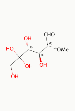 CO[C@@H](C=O)[C@@H](O)[C@@H](O)C(O)(O)CO